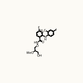 COC(CO)CONC(=O)c1ccc(F)cc1Nc1ccc(I)cc1C